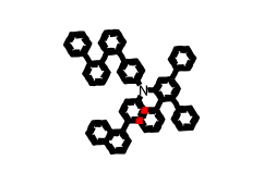 c1ccc(-c2cc(-c3ccccc3)c(-c3ccccc3)c(N(c3ccc(-c4ccccc4-c4ccccc4-c4ccccc4)cc3)c3ccc(-c4cccc5ccccc45)cc3)c2)cc1